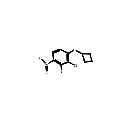 O=[N+]([O-])c1ccc(OC2CCC2)c(Cl)c1F